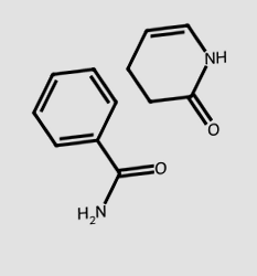 NC(=O)c1ccccc1.O=C1CCC=CN1